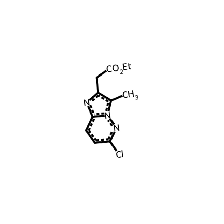 CCOC(=O)Cc1nc2ccc(Cl)nn2c1C